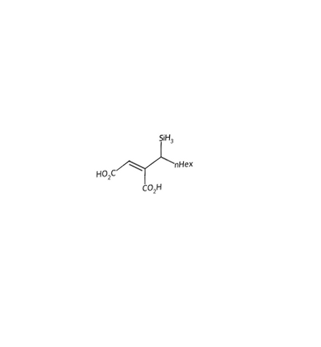 CCCCCCC([SiH3])/C(=C/C(=O)O)C(=O)O